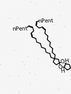 CCCCC/C=C\C/C=C\CCCCCCCCC1(CCCCCCCC/C=C\C/C=C\CCCCC)CCC2(C1)O[C@H]1CCC[C@H]1O2